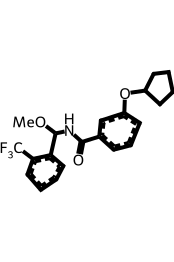 COC(NC(=O)c1cccc(OC2CCCC2)c1)c1ccccc1C(F)(F)F